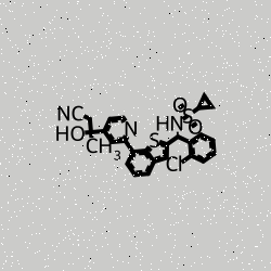 CC(O)(CC#N)c1ccnc(-c2cccc3cc([C@H](NS(=O)(=O)C4CC4)c4ccccc4Cl)sc23)c1